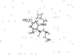 C=Nc1nc(C(=O)O)nc(N[C@H](C)C2CCC2)c1N(C)CN(C)CC(C)C